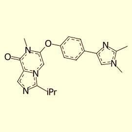 Cc1nc(-c2ccc(Oc3cn4c(C(C)C)ncc4c(=O)n3C)cc2)cn1C